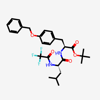 CC(C)C[C@H](NC(=O)C(F)(F)F)C(=O)N[C@@H](Cc1ccc(OCc2ccccc2)cc1)C(=O)OC(C)(C)C